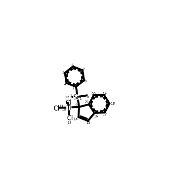 C[Si](C)(c1ccccc1)[C]1([Ti]([Cl])([Cl])[Cl])C=Cc2ccccc21